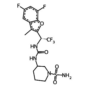 Cc1c([C@@H](NC(=O)NC2CCCN(S(N)(=O)=O)C2)C(F)(F)F)oc2c(F)cc(F)cc12